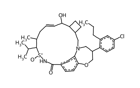 CCCc1cc(Cl)ccc1C1COc2ccc3cc2N(C1)CC1CCC1C(O)/C=C/CC(C)C(C(C)C)[S+]([O-])NC3=O